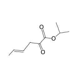 CC=CCC(=O)C(=O)OC(C)C